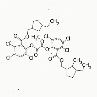 CCC1CCC(COC(=O)c2c(Cl)c(Cl)cc(Cl)c2OC(=O)C(=O)Oc2c(Cl)cc(Cl)c(Cl)c2C(=O)OCC2CCC(CC)C2C)C1C